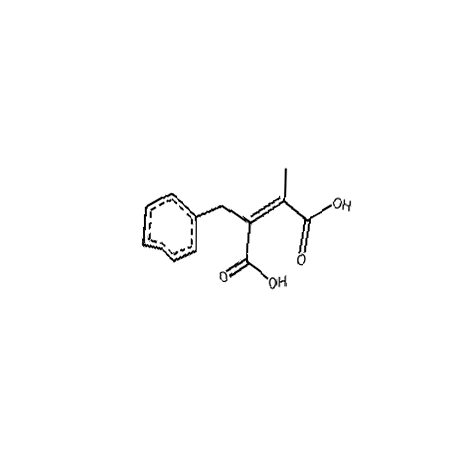 C/C(C(=O)O)=C(\Cc1ccccc1)C(=O)O